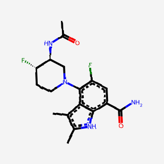 CC(=O)N[C@H]1CN(c2c(F)cc(C(N)=O)c3[nH]c(C)c(C)c23)CC[C@@H]1F